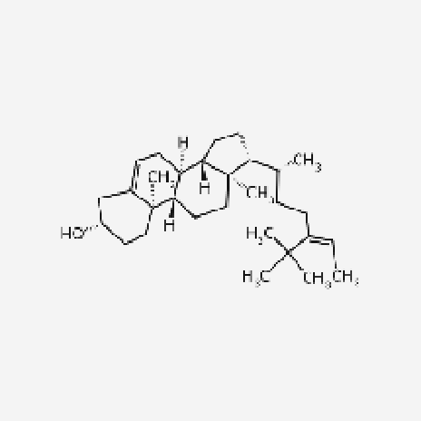 CC=C(CC[C@@H](C)[C@H]1CC[C@H]2[C@@H]3CC=C4C[C@@H](O)CC[C@]4(C)[C@H]3CC[C@]12C)C(C)(C)C